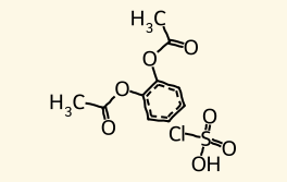 CC(=O)Oc1ccccc1OC(C)=O.O=S(=O)(O)Cl